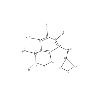 CC(C)N1c2c(F)c(F)c(Br)c(OC3CCC3)c2CC[C@@H]1C